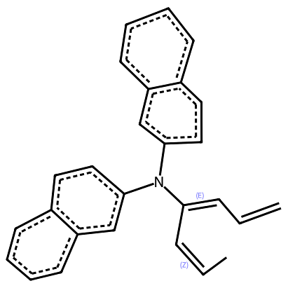 C=C/C=C(\C=C/C)N(c1ccc2ccccc2c1)c1ccc2ccccc2c1